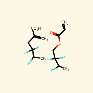 C=C(CC(F)(F)C(F)C(F)(F)F)C(=O)O.C=CC(=O)OCC(F)(F)C(F)C(F)(F)F